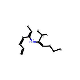 C=C/C=C\C(=C/C)N/C(=C/CCC)C(C)C